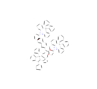 c1ccc(N2c3ccccc3C(c3ccccc3)(c3ccccc3)c3cccc(-c4cccc5c(-c6cccc7c6-c6ccccc6C76c7ccccc7-c7c6c6ccccc6c6ccccc76)c6cccc(-c7cccc8c7N(c7ccccc7)c7ccccc7C8(c7ccccc7)c7ccccc7)c6cc45)c32)cc1